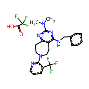 CN(C)c1nc2c(c(NCc3ccccc3)n1)CCN(c1ncccc1C(F)(F)F)CC2.O=C(O)C(F)(F)F